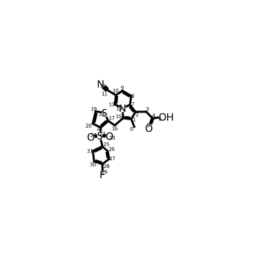 Cc1c(CC(=O)O)c2ccc(C#N)cn2c1Cc1sccc1S(=O)(=O)c1ccc(F)cc1